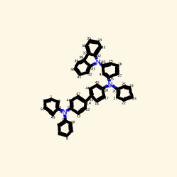 c1ccc(N(c2ccccc2)c2ccc(-c3ccc(N(c4ccccc4)c4cccc(-n5c6ccccc6c6ccccc65)c4)cc3)cc2)cc1